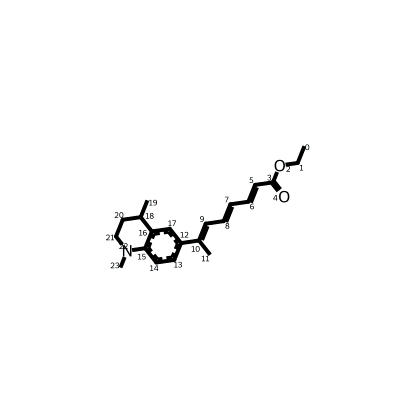 CCOC(=O)C=CC=CC=C(C)c1ccc2c(c1)C(C)CCN2C